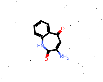 Nc1cc(=O)c2ccccc2[nH]c1=O